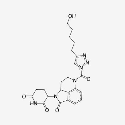 O=C1CCC(N2C(=O)c3cccc4c3C2CCN4C(=O)n2cc(CCCCCO)nn2)C(=O)N1